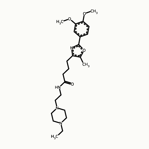 CCN1CCN(CCNC(=O)CCCc2nc(-c3ccc(OC)c(OC)c3)oc2C)CC1